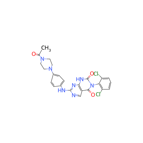 CC(=O)N1CCN(c2ccc(Nc3ncc4c(=O)n(-c5c(Cl)cccc5Cl)c(=O)[nH]c4n3)cc2)CC1